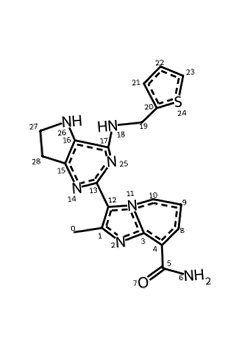 Cc1nc2c(C(N)=O)cccn2c1-c1nc2c(c(NCc3cccs3)n1)NCC2